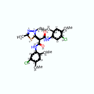 CCCCN1N=C(C)SC1=C(C(=O)Nc1cc(Cl)c(OC)cc1OC)C(=O)Nc1cc(Cl)c(OC)cc1OC